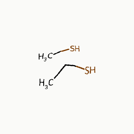 CCS.CS